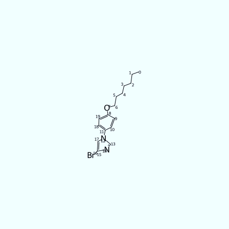 CCCCCCCOc1ccc(-n2cnc(Br)c2)cc1